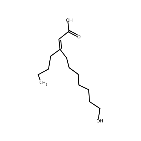 CCCC/C(=C/C(=O)O)CCCCCCCO